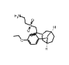 CCOc1ccc(N2C[C@@H]3CC[C@H]2CN(C(=O)CS(=O)(=O)CCN)C3)cc1